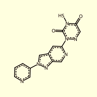 O=c1cnn(-c2cc3cn(-c4cccnc4)nc3cn2)c(=O)n1S